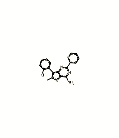 Cc1sc2c(N)nc(-c3ccccn3)nc2c1-c1ccccc1Cl